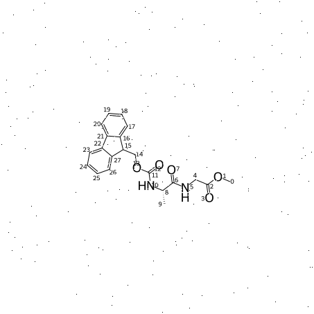 COC(=O)CNC(=O)[C@H](C)NC(=O)OCC1c2ccccc2-c2ccccc21